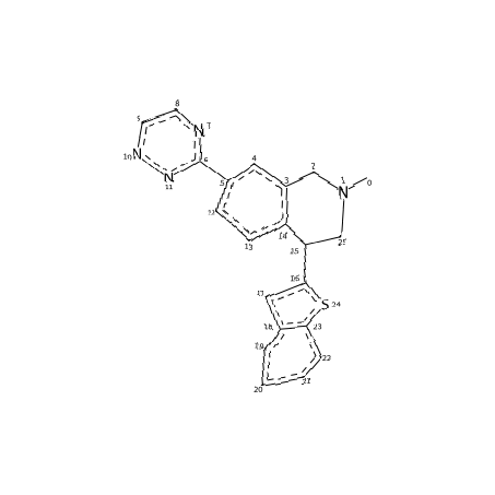 CN1Cc2cc(-c3nccnn3)ccc2C(c2cc3ccccc3s2)C1